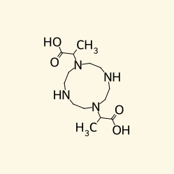 CC(C(=O)O)N1CCNCCN(C(C)C(=O)O)CCNCC1